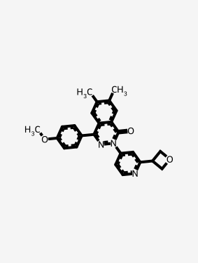 COc1ccc(-c2nn(-c3ccnc(C4COC4)c3)c(=O)c3cc(C)c(C)cc23)cc1